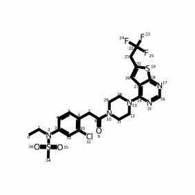 CCN(c1ccc(CC(=O)N2CCN(c3ncnc4sc(CC(F)(F)F)cc34)CC2)c(Cl)c1)S(C)(=O)=O